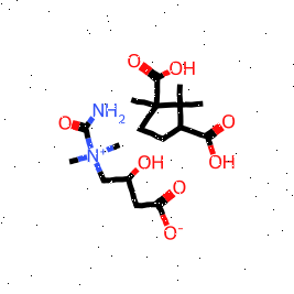 CC1(C(=O)O)CCC(C(=O)O)C1(C)C.C[N+](C)(CC(O)CC(=O)[O-])C(N)=O